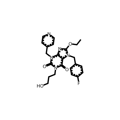 CCOc1nc2c(c(=O)n(CCCO)c(=O)n2Cc2ccncc2)n1Cc1ccc(F)cc1